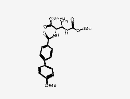 COC(=O)[C@@H](NC(=O)c1ccc(-c2ccc(OC)cc2)cc1)[C@@H](C)NC(=O)OC(C)(C)C